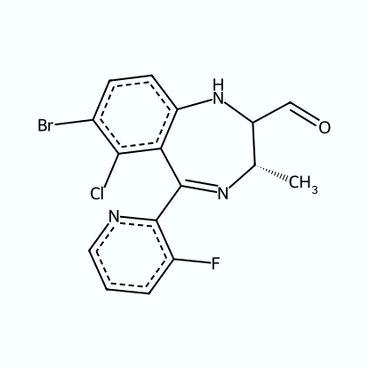 C[C@@H]1N=C(c2ncccc2F)c2c(ccc(Br)c2Cl)NC1C=O